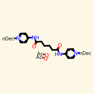 CC(=O)[O-].CC(=O)[O-].CCCCCCCCCC[n+]1ccc(NC(=O)CCCCC(=O)Nc2cc[n+](CCCCCCCCCC)cc2)cc1